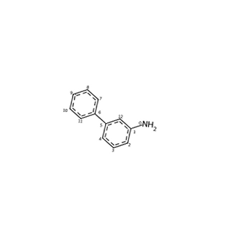 Nc1cccc(-c2cc[c]cc2)c1